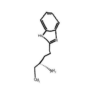 N[C@H](CO)CCc1nc2ccccc2[nH]1